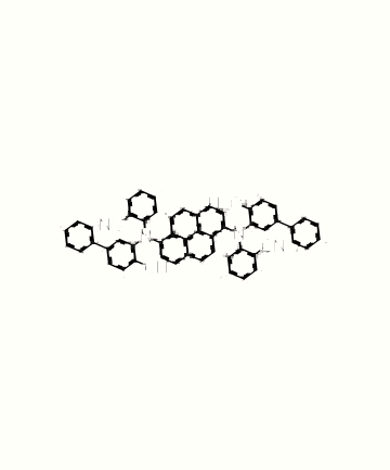 Cc1ccc(-c2ccccc2)cc1N(c1ccccc1C#N)c1ccc2ccc3c(N(c4cc(-c5ccccc5)ccc4C)c4ccccc4C#N)ccc4ccc1c2c43